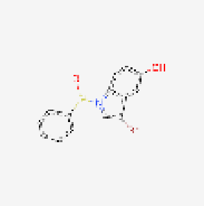 [O-][S+](c1ccccc1)n1cc(Br)c2cc(O)ccc21